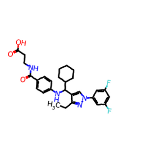 CCc1nn(-c2cc(F)cc(F)c2)cc1C(Nc1ccc(C(=O)NCCC(=O)O)cc1)C1CCCCC1